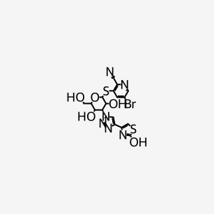 N#Cc1ncc(Br)cc1SC1OC(CO)C(O)C(n2cc(-c3csc(O)n3)nn2)C1O